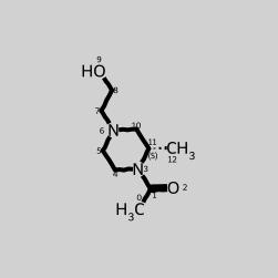 CC(=O)N1CCN(CCO)C[C@@H]1C